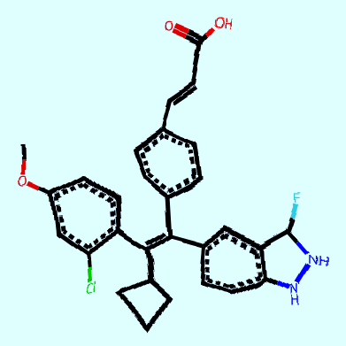 COc1ccc(/C(=C(\c2ccc(/C=C/C(=O)O)cc2)c2ccc3c(c2)C(F)NN3)C2CCC2)c(Cl)c1